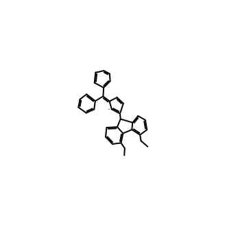 CCc1cccc2c1-c1c(CC)cccc1C2C1=[C]C(=C(c2ccccc2)c2ccccc2)C=C1